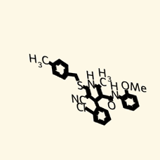 COc1ccccc1NC(=O)C1=C(C)NC(SCc2ccc(C)cc2)=C(C#N)C1c1ccccc1Cl